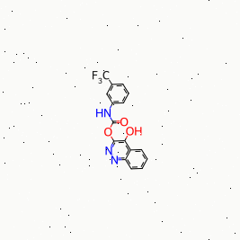 O=C(Nc1cccc(C(F)(F)F)c1)Oc1nnc2ccccc2c1O